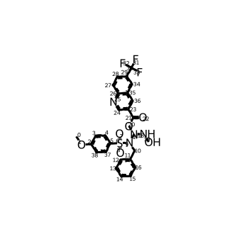 COc1ccc(S(=O)(=O)N(Cc2ccccc2)N(NO)OC(=O)c2cnc3ccc(C(F)(F)F)cc3c2)cc1